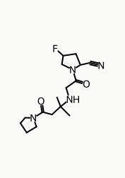 CC(C)(CC(=O)N1CCCC1)NCC(=O)N1CC(F)CC1C#N